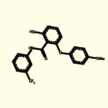 COc1ccc(Oc2cccc(O)c2C(=O)Nc2cccc(C(F)(F)F)c2)cc1